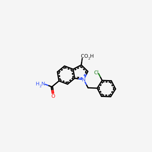 NC(=O)c1ccc2c(C(=O)O)cn(Cc3ccccc3Cl)c2c1